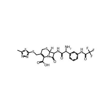 Cc1nnc(SCC2=C(C(=O)O)N3C(=O)C(NC(=O)C(N)c4cccc(NC(=O)C(F)(F)F)c4)[C@H]3SC2)s1